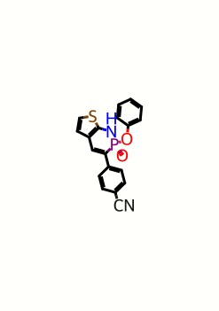 N#Cc1ccc(C2=Cc3ccsc3NP2(=O)Oc2ccccc2)cc1